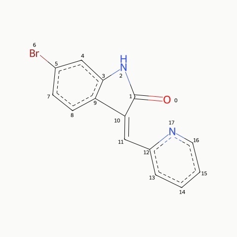 O=C1Nc2cc(Br)ccc2C1=Cc1ccccn1